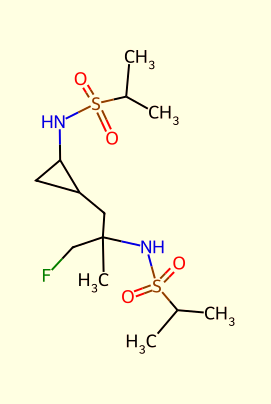 CC(C)S(=O)(=O)NC1CC1CC(C)(CF)NS(=O)(=O)C(C)C